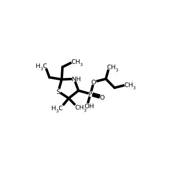 CCC(C)OP(=O)(O)C1NC(CC)(CC)SC1(C)C